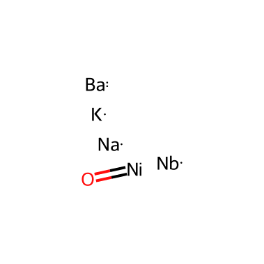 [Ba].[K].[Na].[Nb].[O]=[Ni]